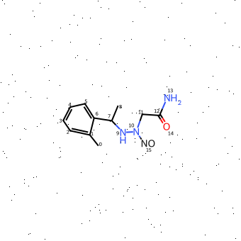 Cc1ccccc1C(C)NN(CC(N)=O)N=O